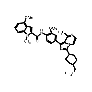 COc1cc(-c2nc(C3CCC(CC(=O)O)CC3)n3ccnc(C)c23)ccc1NC(=O)c1cc2c(OC)cccc2n1C